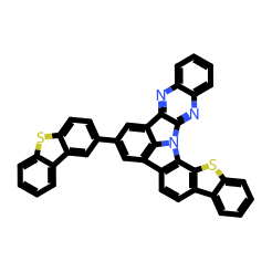 c1ccc2nc3c(nc2c1)c1cc(-c2ccc4sc5ccccc5c4c2)cc2c4ccc5c6ccccc6sc5c4n3c21